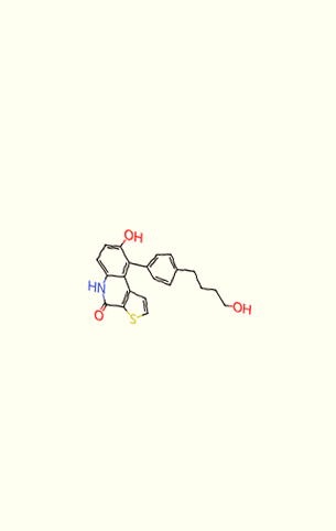 O=c1[nH]c2ccc(O)c(-c3ccc(CCCCO)cc3)c2c2ccsc12